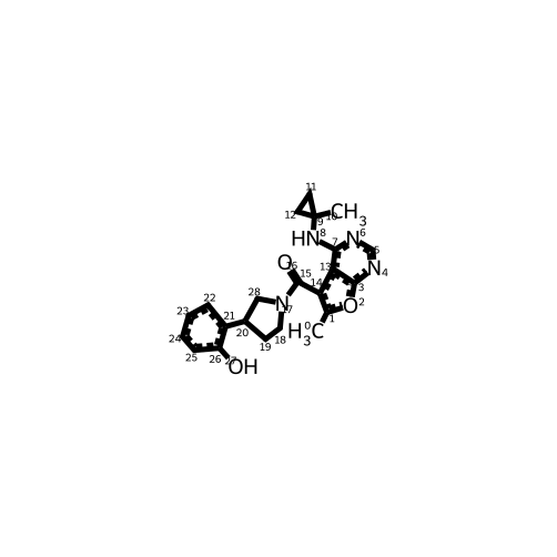 Cc1oc2ncnc(NC3(C)CC3)c2c1C(=O)N1CCC(c2ccccc2O)C1